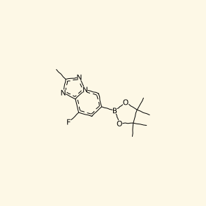 Cc1nc2c(F)cc(B3OC(C)(C)C(C)(C)O3)cn2n1